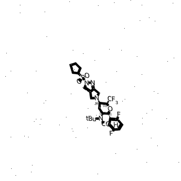 CC(C)(C)N(C(=O)O)[C@H]1C[C@@H](N2Cc3cn(S(=O)(=O)C4CCCC4)nc3C2)[C@@H](C(F)(F)F)O[C@@H]1c1cc(F)ccc1F